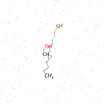 CCCCCCCCCCCCS.CCO